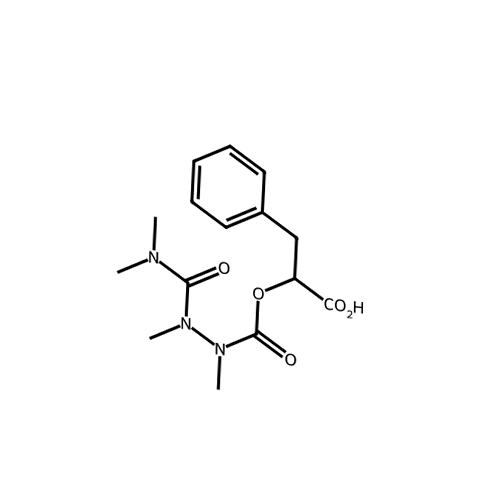 CN(C)C(=O)N(C)N(C)C(=O)OC(Cc1ccccc1)C(=O)O